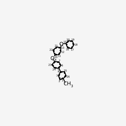 Cc1ccc(-c2ccc(Oc3ccc(Oc4ccccc4)cc3)cc2)cc1